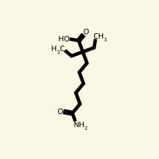 CCC(CC)(CCCCCC(N)=O)C(=O)O